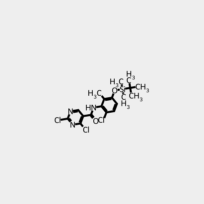 Cc1c(O[Si](C)(C)C(C)(C)C)ccc(Cl)c1NC(=O)c1cnc(Cl)nc1Cl